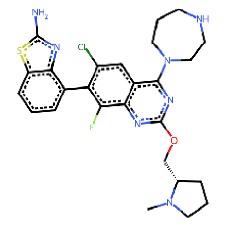 CN1CCC[C@H]1COc1nc(N2CCCNCC2)c2cc(Cl)c(-c3cccc4sc(N)nc34)c(F)c2n1